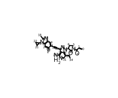 C=CC(=O)N1CC[C@H](n2nc(C#Cc3cc4nc(C)n(C5CC5)c4cc3F)c3c(N)ncc(C(C)=O)c32)C1